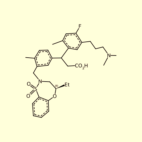 CC[C@@H]1CN(Cc2cc(C(CC(=O)O)c3cc(CCCN(C)C)c(F)cc3C)ccc2C)S(=O)(=O)c2ccccc2O1